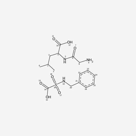 CC(C)CC(NC(=O)CN)C(=O)O.O=C(O)S(=O)(=O)NCc1ccccc1